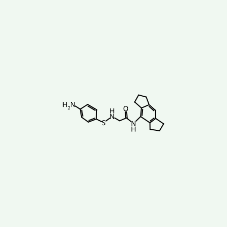 Nc1ccc(SNCC(=O)Nc2c3c(cc4c2CCC4)CCC3)cc1